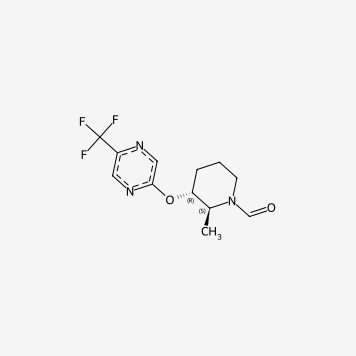 C[C@H]1[C@H](Oc2cnc(C(F)(F)F)cn2)CCCN1C=O